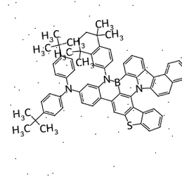 CC(C)(C)c1ccc(N(c2ccc(C(C)(C)C)cc2)c2ccc3c(c2)N(c2ccc4c(c2)C(C)(C)CCC4(C)C)B2c4c-3cc3sc5ccccc5c3c4-n3c4ccc5ccccc5c4c4cccc2c43)cc1